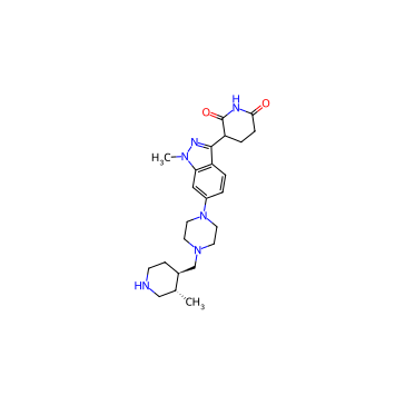 C[C@@H]1CNCC[C@H]1CN1CCN(c2ccc3c(C4CCC(=O)NC4=O)nn(C)c3c2)CC1